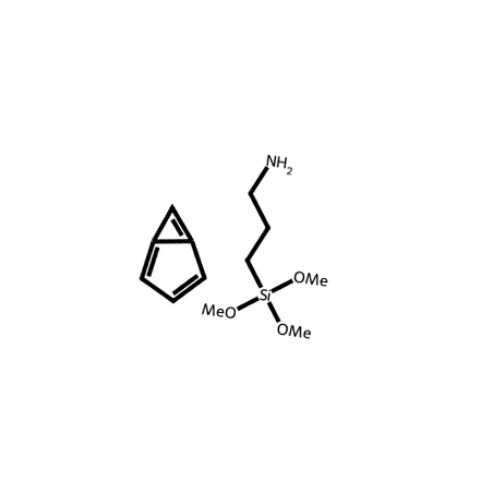 CO[Si](CCCN)(OC)OC.c1cc2cc-2c1